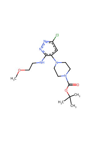 COCCNc1nnc(Cl)cc1N1CCN(C(=O)OC(C)(C)C)CC1